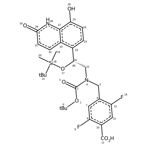 CC(C)(C)OC(=O)N(Cc1cc(F)c(C(=O)O)cc1F)C[C@H](O[Si](C)(C)C(C)(C)C)c1ccc(O)c2[nH]c(=O)ccc12